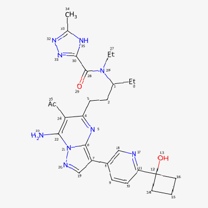 CCC(CCc1nc2c(-c3ccc(C4(O)CCC4)nc3)cnn2c(N)c1C(C)=O)N(CC)C(=O)c1nnc(C)[nH]1